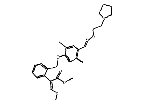 COC=C(C(=O)OC)c1ccccc1COc1cc(C)c(C=NOCCN2CCCC2)cc1C